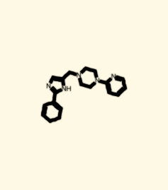 C1=CC(c2ncc(CN3CCN(c4ccccn4)CC3)[nH]2)=CCC1